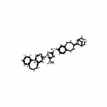 Nc1nc(Nc2ccc3c(c2)CCC(N2C4COCC2C4)CC3)nn1-c1cc2c(nn1)-c1ccccc1CCC2